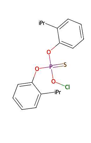 CC(C)c1ccccc1OP(=S)(OCl)Oc1ccccc1C(C)C